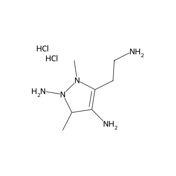 CC1C(N)=C(CCN)N(C)N1N.Cl.Cl